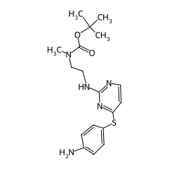 CN(CCNc1nccc(Sc2ccc(N)cc2)n1)C(=O)OC(C)(C)C